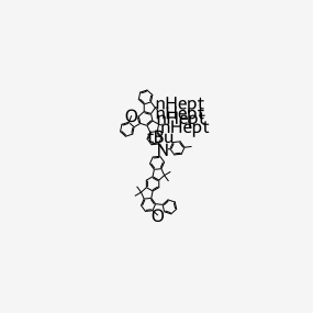 CCCCCCCC1(CCCCCCC)c2ccccc2-c2c1c1c(c3c2oc2ccccc23)-c2ccc(N(c3ccc4c(c3)C(C)(C)c3cc5c(cc3-4)C(C)(C)c3ccc4oc6ccccc6c4c3-5)c3ccc(C)cc3C(C)(C)C)cc2C1(CCCCCCC)CCCCCCC